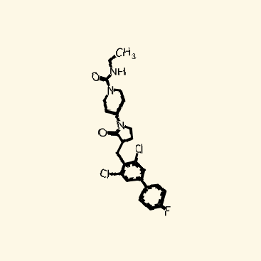 CCNC(=O)N1CCC(N2CCC(Cc3c(Cl)cc(-c4ccc(F)cc4)cc3Cl)C2=O)CC1